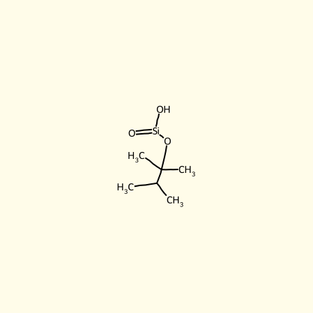 CC(C)C(C)(C)O[Si](=O)O